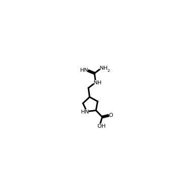 N=C(N)NCC1CNC(C(=O)O)C1